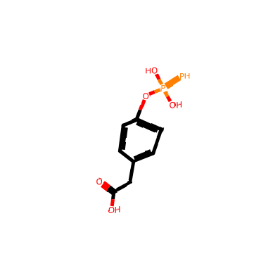 O=C(O)Cc1ccc(OP(O)(O)=P)cc1